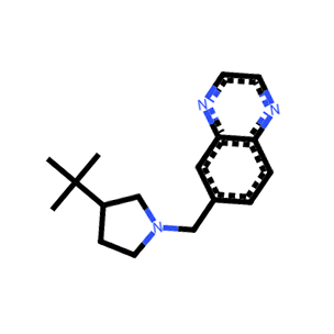 CC(C)(C)C1CCN(Cc2ccc3nccnc3c2)C1